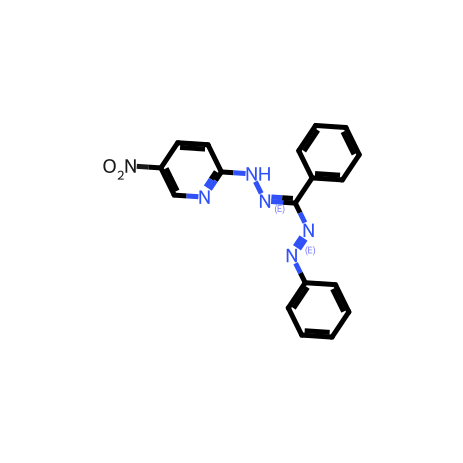 O=[N+]([O-])c1ccc(N/N=C(/N=N/c2ccccc2)c2ccccc2)nc1